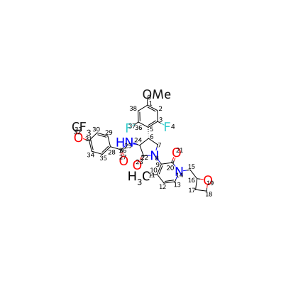 COc1cc(F)c([C@@H]2CN(c3c(C)ccn(CC4CCO4)c3=O)C(=O)[C@H]2NC(=O)c2ccc(OC(F)(F)F)cc2)c(F)c1